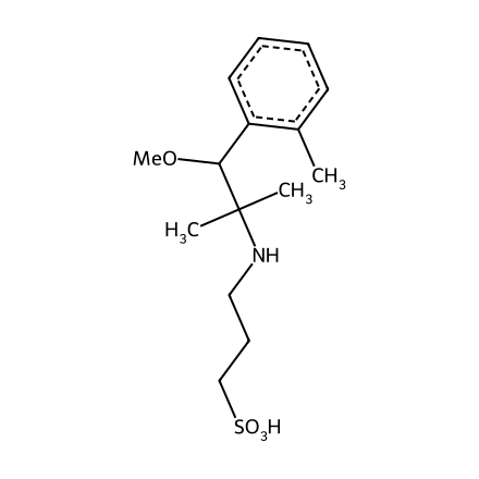 COC(c1ccccc1C)C(C)(C)NCCCS(=O)(=O)O